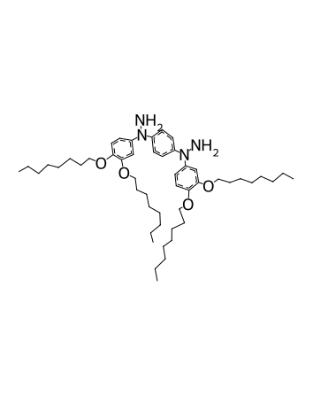 CCCCCCCCOc1ccc(N(N)c2ccc(N(N)c3ccc(OCCCCCCCC)c(OCCCCCCCC)c3)cc2)cc1OCCCCCCCC